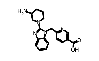 NC1CCCN(c2nc3ccccc3n2Cc2ccc(C(=O)O)cn2)C1